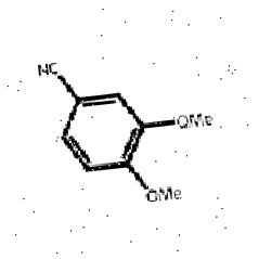 COc1c[c]c(C#N)cc1OC